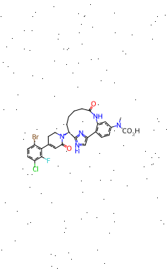 CN(C(=O)O)c1ccc2c(c1)NC(=O)CCCC[C@H](N1CCC(c3c(Br)ccc(Cl)c3F)=CC1=O)c1nc-2c[nH]1